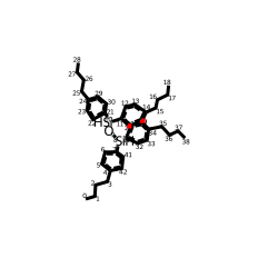 CCCCc1ccc([SiH](O[SiH](c2ccc(CCCC)cc2)c2ccc(CCCC)cc2)c2ccc(CCCC)cc2)cc1